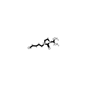 CC(C)N1CCN(CCCCCl)C1=O